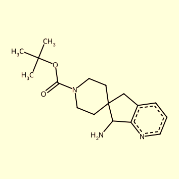 CC(C)(C)OC(=O)N1CCC2(CC1)Cc1cccnc1C2N